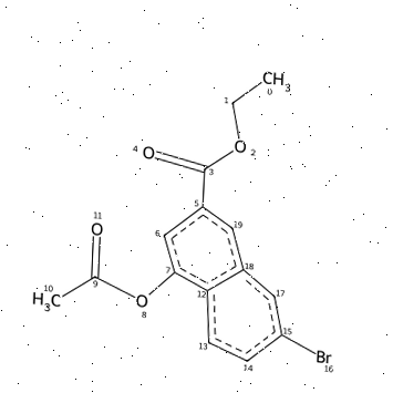 CCOC(=O)c1cc(OC(C)=O)c2ccc(Br)cc2c1